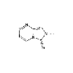 Cn1cc2nnccn2c1=O